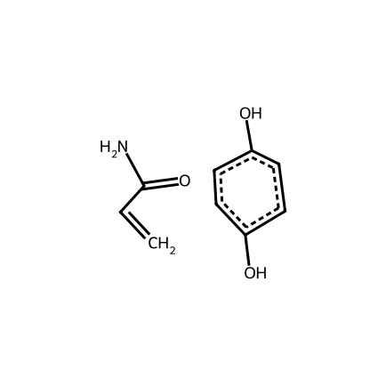 C=CC(N)=O.Oc1ccc(O)cc1